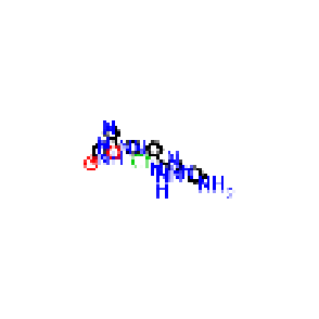 CC1(N)CCN(c2cnc3c(-c4cccc(N5CCN(Cc6ccncc6N6CCC(=O)NC6=O)CC5)c4Cl)n[nH]c3n2)CC1